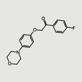 O=C(COc1ccc(N2CCOCC2)cc1)c1ccc(F)cc1